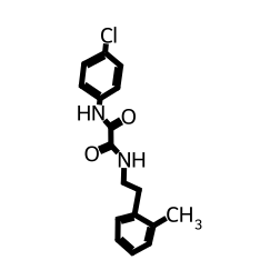 Cc1ccccc1CCNC(=O)C(=O)Nc1ccc(Cl)cc1